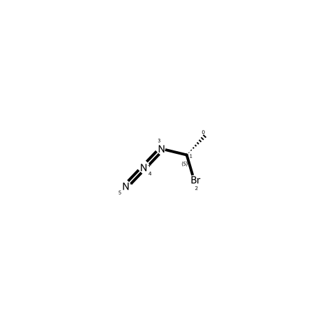 C[C@H](Br)N=[N+]=[N-]